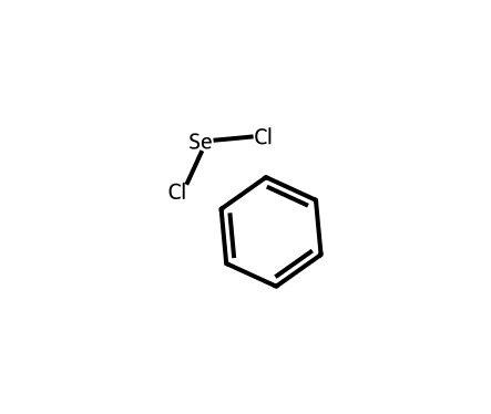 Cl[Se]Cl.c1ccccc1